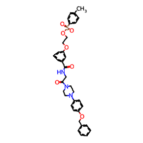 Cc1ccc(S(=O)(=O)OCCOc2cccc(C(=O)NCC(=O)N3CCN(c4ccc(OCc5ccccc5)cc4)CC3)c2)cc1